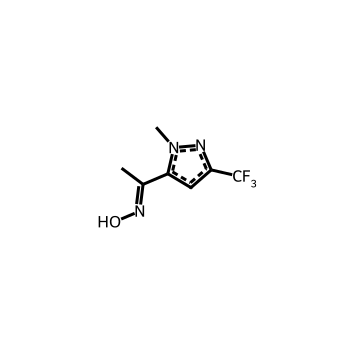 CC(=NO)c1cc(C(F)(F)F)nn1C